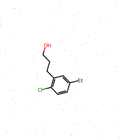 CCc1ccc(Cl)c(CCCO)c1